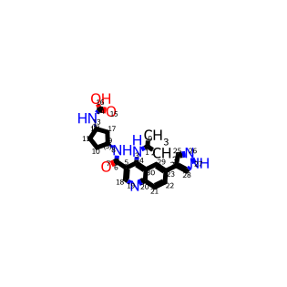 CC(C)Nc1c(C(=O)N[C@H]2CC[C@H](NC(=O)O)C2)cnc2ccc(-c3cn[nH]c3)cc12